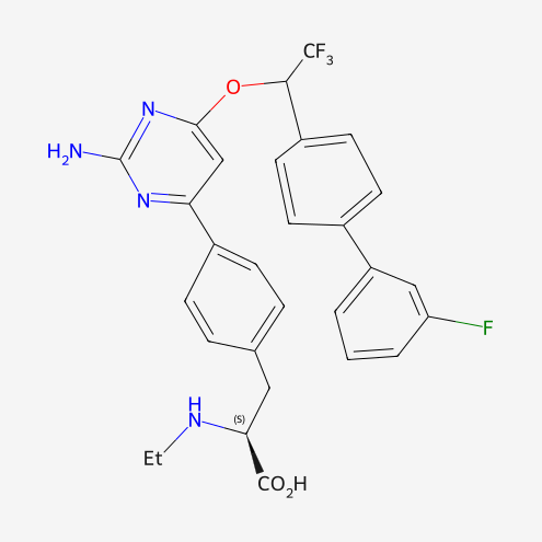 CCN[C@@H](Cc1ccc(-c2cc(OC(c3ccc(-c4cccc(F)c4)cc3)C(F)(F)F)nc(N)n2)cc1)C(=O)O